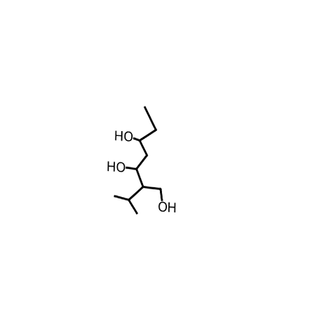 CCC(O)CC(O)C(CO)C(C)C